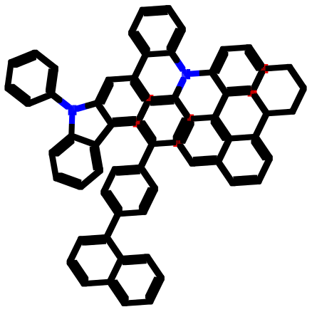 c1ccc(-n2c3ccccc3c3ccc(-c4ccccc4N(c4ccc(-c5ccc(-c6cccc7ccccc67)cc5)cc4)c4ccccc4-c4cccc5cccc(C6CCCCC6)c45)cc32)cc1